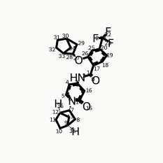 O=C(Nc1ccn([C@@H]2C[C@H]3CC[C@@H]2C3)c(=O)c1)c1ccc(C(F)(F)F)cc1OC1CC2CCC1C2